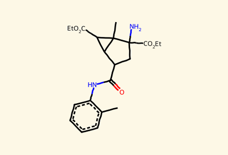 CCOC(=O)C1C2C(C(=O)Nc3ccccc3C)CC(N)(C(=O)OCC)C12C